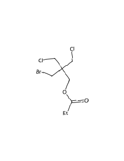 CCC(=O)OCC(CCl)(CCl)CBr